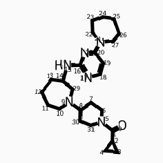 O=C(C1CC1)N1CCC(N2CCCCC(Nc3nccc(N4CCCCCC4)n3)C2)CC1